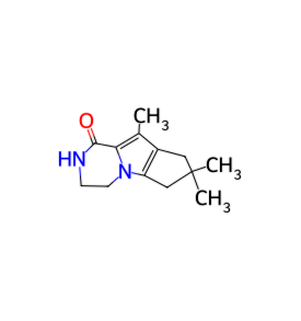 Cc1c2c(n3c1C(=O)NCC3)CC(C)(C)C2